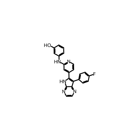 Oc1cccc(Nc2cc(-c3[nH]c4nccnc4c3-c3ccc(F)cc3)ccn2)c1